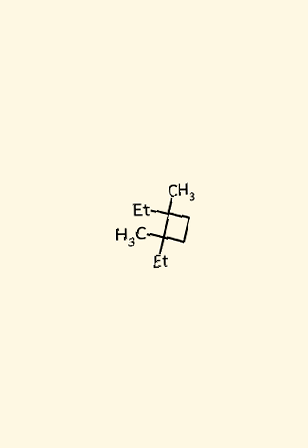 CCC1(C)CCC1(C)CC